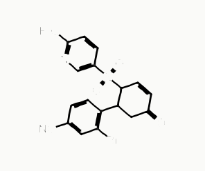 N#Cc1ccc(C2CC(=O)C=CC2S(=O)(=O)c2ccc(C(F)(F)F)nc2)c(Br)c1